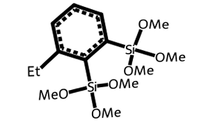 CCc1cccc([Si](OC)(OC)OC)c1[Si](OC)(OC)OC